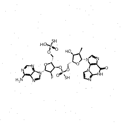 C[C@@H]1[C@H](O)[C@@H](CO[P@@](=O)(S)O[C@H]2[C@@H](F)[C@H](n3cnc4c(N)ncnc43)O[C@@H]2COP(=O)(O)S)O[C@H]1n1cnc2c(=O)[nH]c3nccn3c21